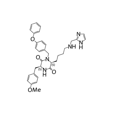 COc1ccc(C[C@@H]2NC(=O)[C@H](CCCCNCc3ncc[nH]3)N(Cc3ccc(Oc4ccccc4)cc3)C2=O)cc1